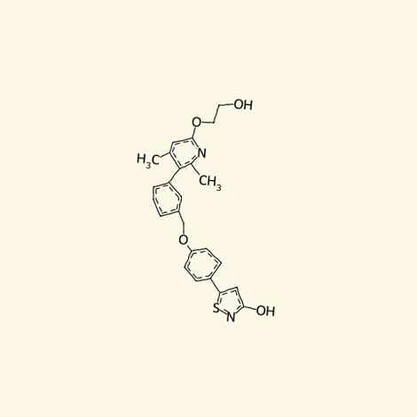 Cc1cc(OCCO)nc(C)c1-c1cccc(COc2ccc(-c3cc(O)ns3)cc2)c1